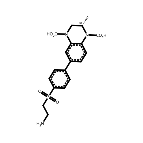 C[C@H]1CN(C(=O)O)c2cc(-c3ccc(S(=O)(=O)CCN)cc3)ccc2N1C(=O)O